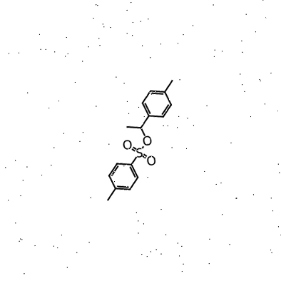 Cc1ccc(C(C)OS(=O)(=O)c2ccc(C)cc2)cc1